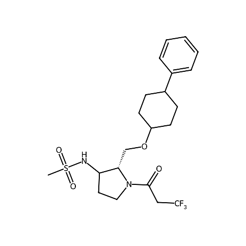 CS(=O)(=O)NC1CCN(C(=O)CC(F)(F)F)[C@H]1COC1CCC(c2ccccc2)CC1